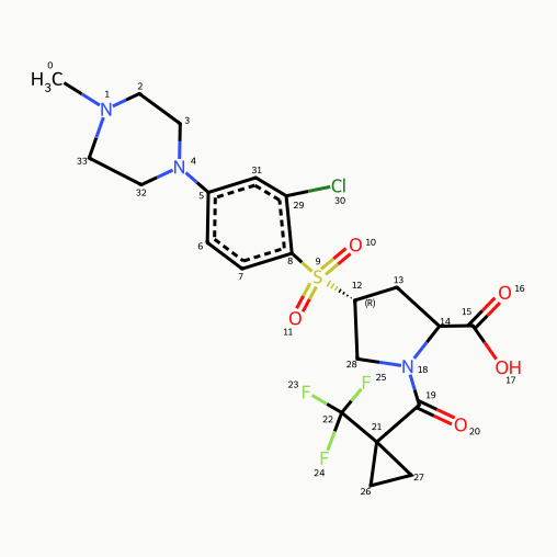 CN1CCN(c2ccc(S(=O)(=O)[C@@H]3CC(C(=O)O)N(C(=O)C4(C(F)(F)F)CC4)C3)c(Cl)c2)CC1